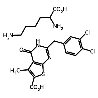 Cc1c(C(=O)O)sc2nc(Cc3ccc(Cl)c(Cl)c3)[nH]c(=O)c12.NCCCCC(N)C(=O)O